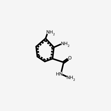 NNC(=O)c1cccc(N)c1N